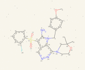 COc1ccc(Cn2c(N)c(S(=O)(=O)c3ccccc3F)c3cnnc(N4CCOC(C)(C)C4)c32)cc1